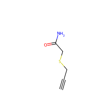 C#CCSCC(N)=O